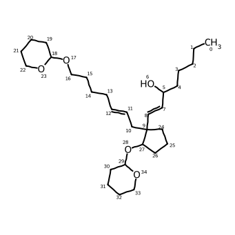 CCCCCC(O)C=CC1(CC=CCCCCOC2CCCCO2)CCCC1OC1CCCCO1